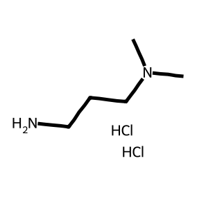 CN(C)CCCN.Cl.Cl